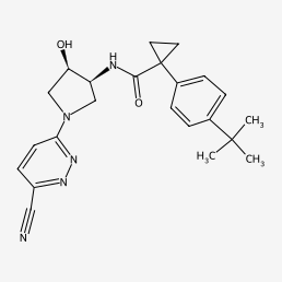 CC(C)(C)c1ccc(C2(C(=O)N[C@H]3CN(c4ccc(C#N)nn4)C[C@H]3O)CC2)cc1